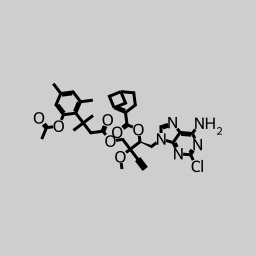 C#CC(COC(=O)CC(C)(C)c1c(C)cc(C)cc1OC(C)=O)(OC)[C@H](Cn1cnc2c(N)nc(Cl)nc21)OC(=O)C1=C2CC(CC1)C2